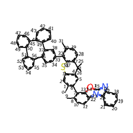 Cc1cc2c(cc1-c1c(C)ccc3c1oc1nc4ccccc4n13)C(C)(C)c1ccc(C)c(-c3ccc4c(c3)-c3ccccc3-c3ccccc3-c3ccccc3-4)c1S2